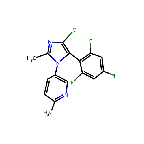 Cc1ccc(-n2c(C)nc(Cl)c2-c2c(F)cc(F)cc2F)cn1